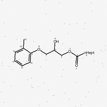 CCCCCCCC(=O)OCC(O)COc1ccccc1C